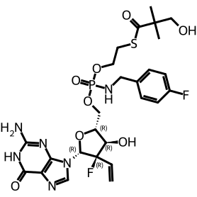 C=C[C@@]1(F)[C@H](O)[C@@H](COP(=O)(NCc2ccc(F)cc2)OCCSC(=O)C(C)(C)CO)O[C@H]1n1cnc2c(=O)[nH]c(N)nc21